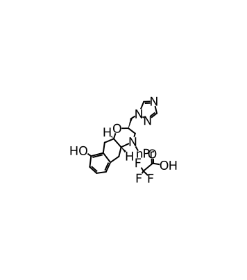 CCCN1C[C@H](Cn2cncn2)O[C@@H]2Cc3c(O)cccc3C[C@H]21.O=C(O)C(F)(F)F